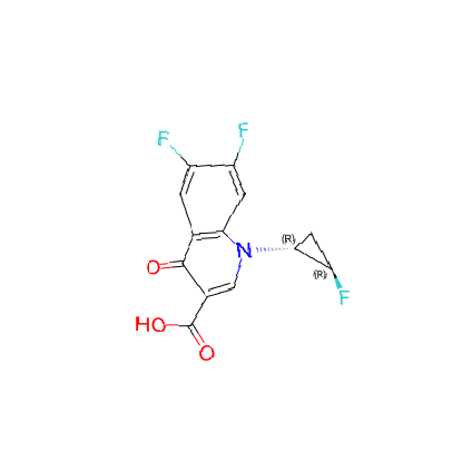 O=C(O)c1cn([C@@H]2C[C@H]2F)c2cc(F)c(F)cc2c1=O